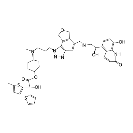 Cc1ccc([C@@](O)(C(=O)O[C@H]2CC[C@H](N(C)CCCn3nnc4cc(CNC[C@H](O)c5ccc(O)c6[nH]c(=O)ccc56)c5c(c43)COC5)CC2)c2cccs2)s1